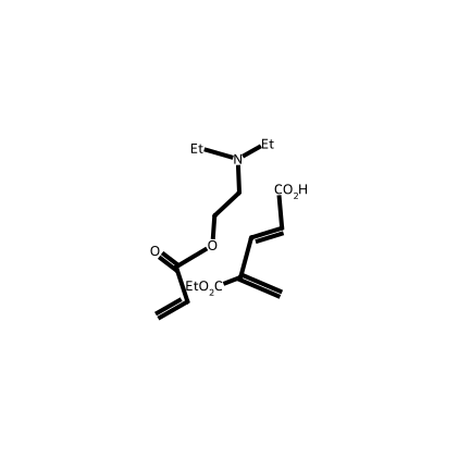 C=C(C=CC(=O)O)C(=O)OCC.C=CC(=O)OCCN(CC)CC